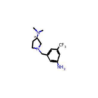 CN(C)[C@@H]1CCN(Cc2cc(N)cc(C(F)(F)F)c2)C1